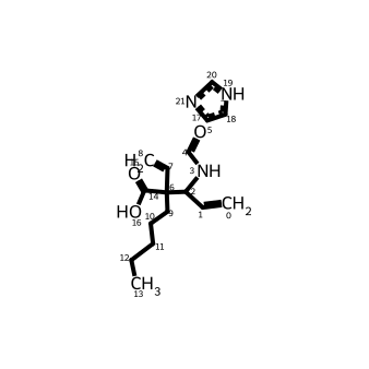 C=CC(NC=O)C(C=C)(CCCCC)C(=O)O.c1c[nH]cn1